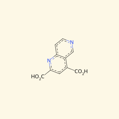 O=C(O)c1cc(C(=O)O)c2cnccc2n1